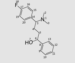 CN(C)C(CCC(O)c1cc[c]cc1)c1ccc(F)cc1